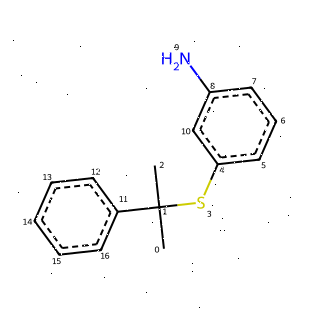 CC(C)(Sc1cccc(N)c1)c1ccccc1